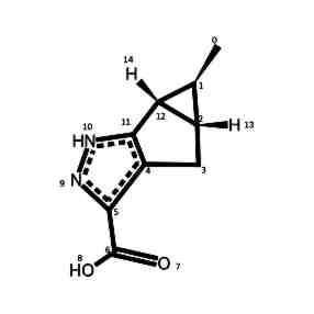 C[C@H]1[C@@H]2Cc3c(C(=O)O)n[nH]c3[C@H]12